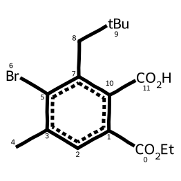 CCOC(=O)c1cc(C)c(Br)c(CC(C)(C)C)c1C(=O)O